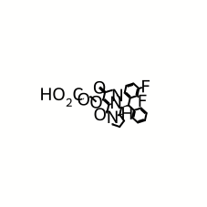 O=C(O)OCOc1c2n(ncc1=O)[C@@H](C(c1ccccc1)c1cccc(F)c1F)[C@H]1CCCN1C2=O